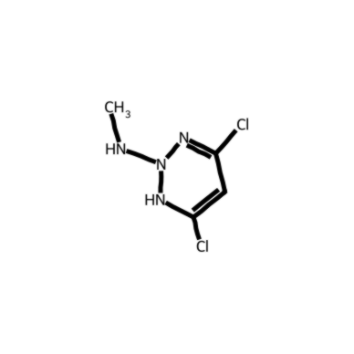 CNN1N=C(Cl)C=C(Cl)N1